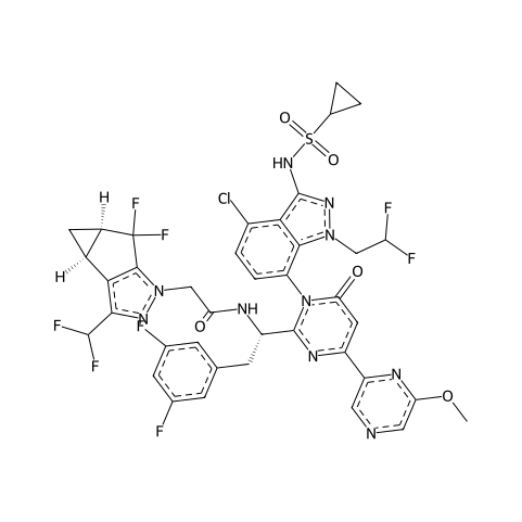 COc1cncc(-c2cc(=O)n(-c3ccc(Cl)c4c(NS(=O)(=O)C5CC5)nn(CC(F)F)c34)c([C@H](Cc3cc(F)cc(F)c3)NC(=O)Cn3nc(C(F)F)c4c3C(F)(F)[C@@H]3C[C@H]43)n2)n1